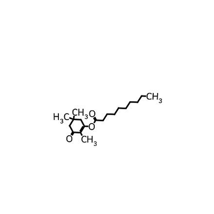 CCCCCCCCCC(=O)OC1=C(C)C(=O)CC(C)(C)C1